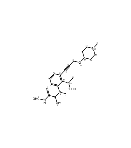 CCCC(C(=O)NC=O)N(C)c1cccc(C#CCOC2CCN(C)CC2)c1N(C)C=O